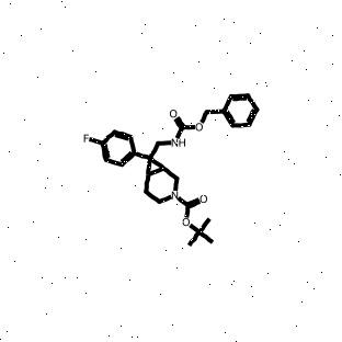 CC(C)(C)OC(=O)N1CCC2C(C1)C2(CNC(=O)OCc1ccccc1)c1ccc(F)cc1